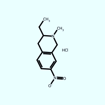 CCC1Cc2ccc([N+](=O)[O-])cc2CN1C.Cl